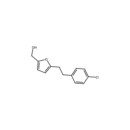 OCc1ccc(CCc2ccc(Cl)cc2)o1